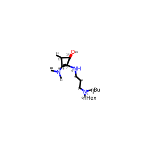 CCCCCCN(CCCC)CCCNC1=C(N(C)C)C(C)C1=O